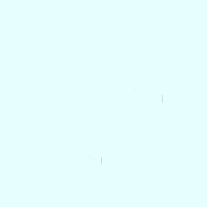 CC(C)(P)c1ccccc1C(C)(C)I